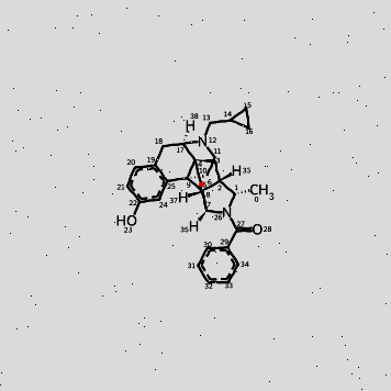 C[C@H]1[C@H]2C[C@@]34CC[C@H]([C@@H]2[C@]32CCN(CC3CC3)[C@@H]4Cc3ccc(O)cc32)N1C(=O)c1ccccc1